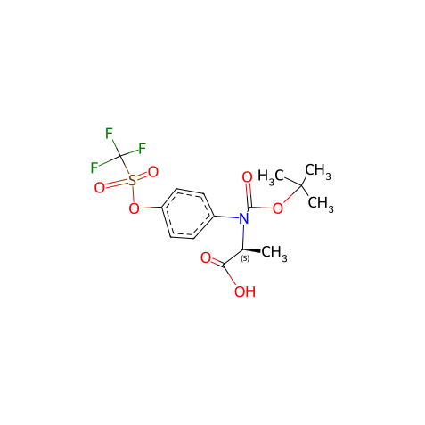 C[C@@H](C(=O)O)N(C(=O)OC(C)(C)C)c1ccc(OS(=O)(=O)C(F)(F)F)cc1